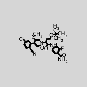 COc1cn(C(CCOC(C)(C)C)C(=O)Nc2ccc(C(N)=O)c(F)c2)c(=O)cc1-c1cc(Cl)ccc1C#N